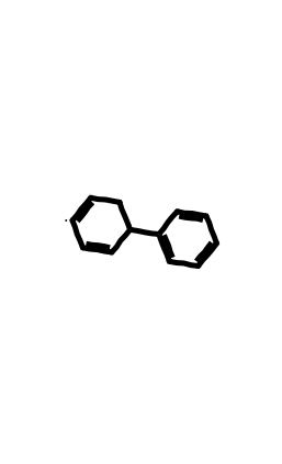 [C]1=CC[C](c2ccccc2)C=C1